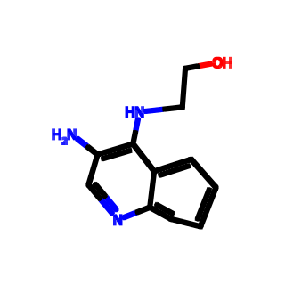 Nc1cnc2ccccc2c1NCCO